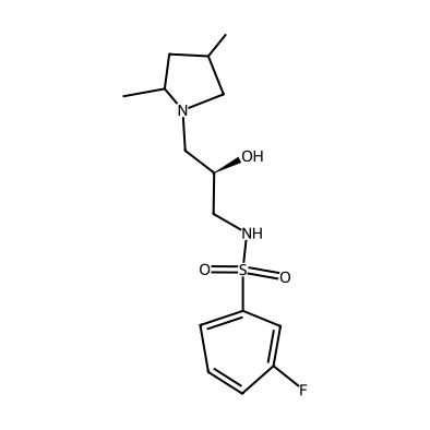 CC1CC(C)N(C[C@@H](O)CNS(=O)(=O)c2cccc(F)c2)C1